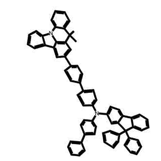 CC1(C)c2ccccc2-n2c3ccccc3c3cc(-c4ccc(-c5ccc(N(c6ccc(-c7ccccc7)cc6)c6ccc7c(c6)C(c6ccccc6)(c6ccccc6)c6ccccc6-7)cc5)cc4)cc1c32